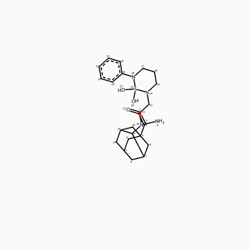 NC(=O)C12CC3CC(C1)C(NC(=O)CN1CCCN(c4ccccc4)S1(O)O)C(C3)C2